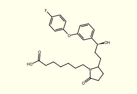 O=C(O)CCCCCCN1C(=O)CCC1CC[C@H](O)c1cccc(Oc2ccc(F)cc2)c1